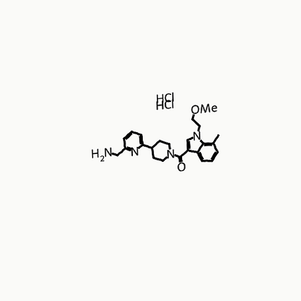 COCCn1cc(C(=O)N2CCC(c3cccc(CN)n3)CC2)c2cccc(C)c21.Cl.Cl